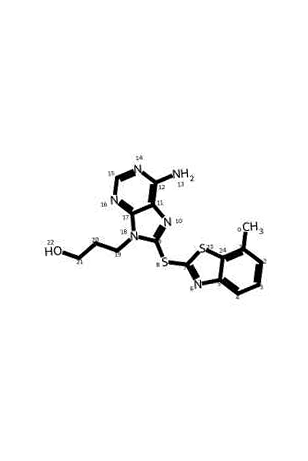 Cc1cccc2nc(Sc3nc4c(N)ncnc4n3CCCO)sc12